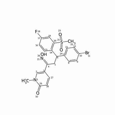 Cn1cc(C(CC(c2ccc(Br)cc2)c2ccc(F)cc2S(C)(=O)=O)=NO)ccc1=O